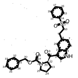 O=C(c1c[nH]c2ccc(CCS(=O)(=O)c3ccccc3)cc12)[C@H]1CCCN1C(=O)OCc1ccccc1